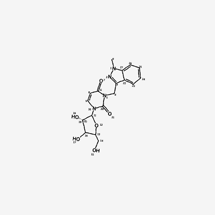 Cn1nc(Cn2c(=O)ccn(C3OC(CO)C(O)[C@@H]3O)c2=O)c2ccccc21